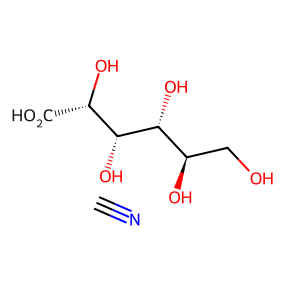 C#N.O=C(O)[C@H](O)[C@@H](O)[C@H](O)[C@H](O)CO